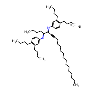 CCCCCCCCCCCCCCC#CC(=N\c1ccc(CCCC)c(CCCC)c1)/C(CCCC)=N/c1ccc(CCCC)c(CCCC)c1.[Ni]